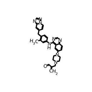 C=C(C=O)CN1CCN(c2ccc3ncnc(Nc4ccc(Cc5ccn6ncnc6c5)c(C)c4)c3c2)CC1